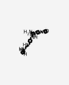 Nc1cc(N2CCN(CCN3CCOCC3)CC2)nc(NCC2CCC(CNCCCNC3C[C@@H]4CC[C@H]3C4)CC2)n1